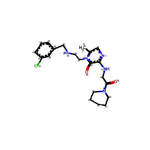 Cc1cnc(NCC(=O)N2CCCCC2)c(=O)n1CCNCc1cccc(Cl)c1